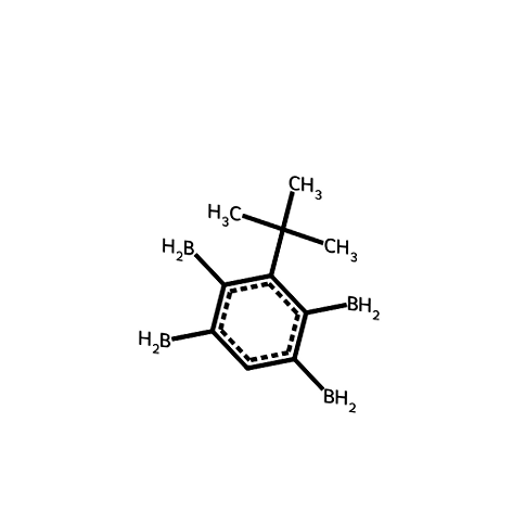 Bc1cc(B)c(B)c(C(C)(C)C)c1B